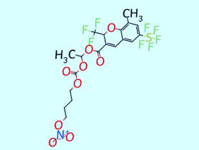 Cc1cc(S(F)(F)(F)(F)F)cc2c1OC(C(F)(F)F)C(C(=O)OC(C)OC(=O)OCCCCO[N+](=O)[O-])=C2